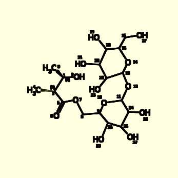 C[C@@H](O)[C@@H](C)C(=O)OCC1OC(OC2OC(CO)C(O)C(O)C2O)C(O)C(O)C1O